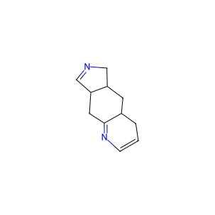 C1=CN=C2CC3C=NCC3CC2C1